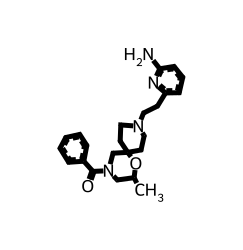 CC1CN(C(=O)c2ccccc2)CC2(CCN(CCc3cccc(N)n3)CC2)O1